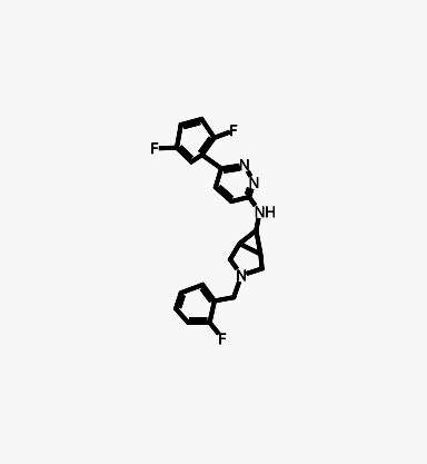 Fc1ccc(F)c(-c2ccc(NC3C4CN(Cc5ccccc5F)CC43)nn2)c1